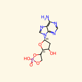 Nc1ncnc2c1ncn2[C@H]1CC(O)[C@@H](C2COP(=O)(O)O2)O1